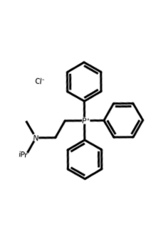 CC(C)N(C)CC[P+](c1ccccc1)(c1ccccc1)c1ccccc1.[Cl-]